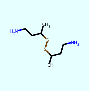 CC(CCN)SSC(C)CCN